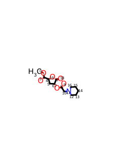 COC(=O)C1CC(OC(=O)CN2CCCCC2)C(=O)O1